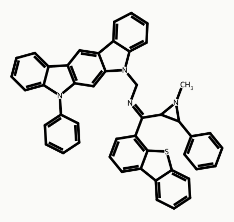 CN1C(/C(=N\Cn2c3ccccc3c3cc4c5ccccc5n(-c5ccccc5)c4cc32)c2cccc3c2sc2ccccc23)C1c1ccccc1